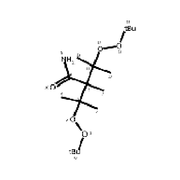 CC(C)(C)OOC(C)(C)C(C)(C(N)=O)C(C)(C)OOC(C)(C)C